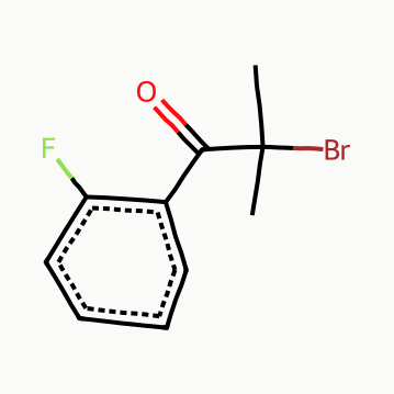 CC(C)(Br)C(=O)c1ccccc1F